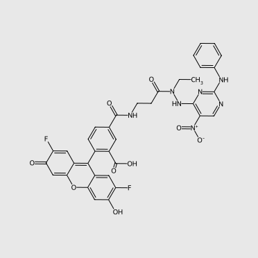 CCN(Nc1nc(Nc2ccccc2)ncc1[N+](=O)[O-])C(=O)CCNC(=O)c1ccc(-c2c3cc(F)c(=O)cc-3oc3cc(O)c(F)cc23)c(C(=O)O)c1